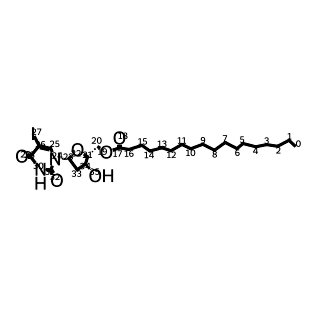 CCCCCCCCCCCCCCCCCC(=O)OC[C@H]1O[C@@H](n2cc(I)c(=O)[nH]c2=O)C[C@@H]1O